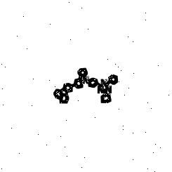 c1ccc(-c2nc(-c3ccccc3)nc(-c3ccc(-n4c5ccccc5c5cc(-c6ccc7c(c6)-c6cccc8cccc-7c68)ccc54)cc3)n2)cc1